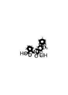 CN(C)[C@]1(c2ccccc2)CC[C@@]2(CC1)CC(=O)N(Cc1ccccc1C(=O)O)C2.Cl